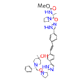 COC(=O)NC(C)C(=O)N1CCC[C@H]1c1ncc(-c2ccc(C#Cc3ccc(-c4cnc([C@@H]5CCCN5OC[C@@H](c5ccccc5)N5CCC(C)(O)CC5)[nH]4)cc3)cc2)[nH]1